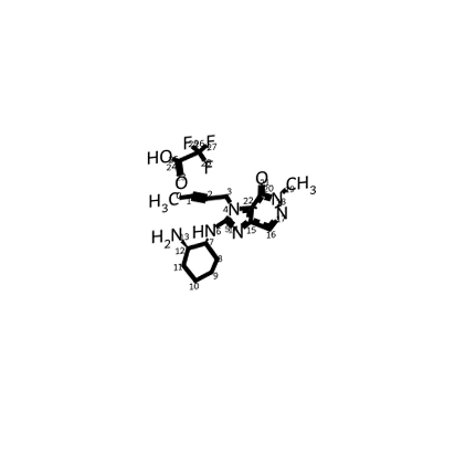 CC#CCn1c(N[C@@H]2CCCC[C@H]2N)nc2cnn(C)c(=O)c21.O=C(O)C(F)(F)F